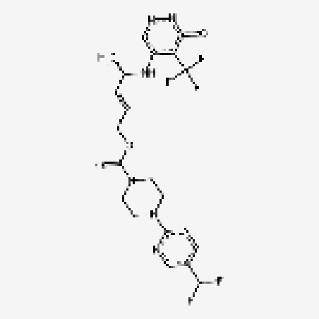 C[C@H](/C=C/COC(=O)N1CCN(c2ncc(C(F)F)cn2)CC1)Nc1cn[nH]c(=O)c1C(F)(F)F